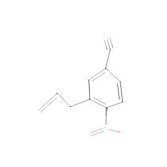 C=CCc1cc(C#N)ccc1[N+](=O)[O-]